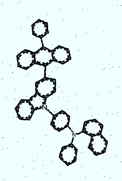 c1ccc(-c2c3ccccc3c(-c3ccc4c(c3)c3ccccc3n4-c3ccc(N(c4ccccc4)c4cccc5ccccc45)cc3)c3ccccc23)cc1